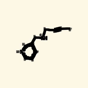 [CH2]C#CCNCc1cccnc1